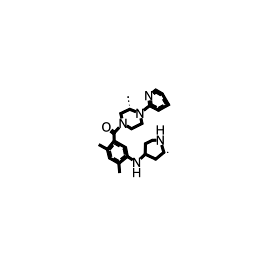 Cc1cc(C)c(C(=O)N2CCN(c3ccccn3)[C@@H](C)C2)cc1NC1C[CH]NCC1